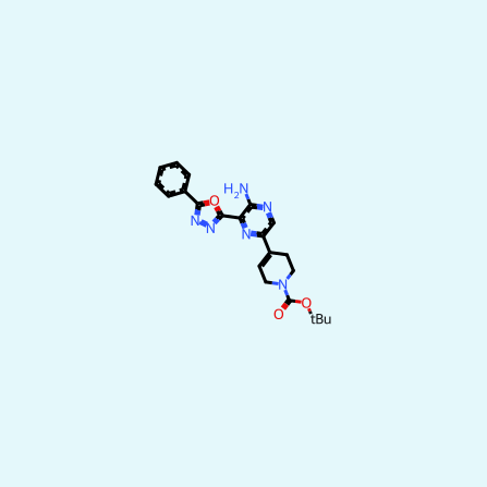 CC(C)(C)OC(=O)N1CC=C(c2cnc(N)c(-c3nnc(-c4ccccc4)o3)n2)CC1